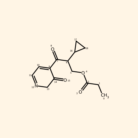 CCC(=O)OCC(C(=O)C1=CC=NCC1=O)C1CC1